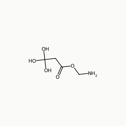 NCOC(=O)CC(O)(O)O